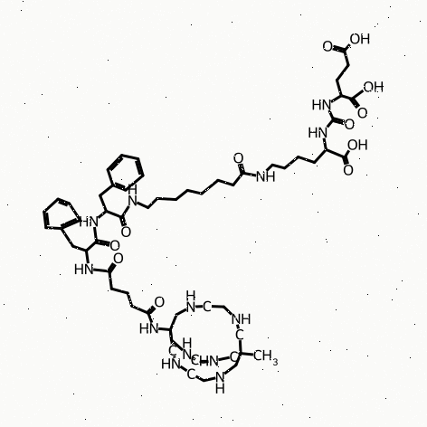 CC12CNCCNCC(NC(=O)CCCC(=O)NC(Cc3ccccc3)C(=O)NC(Cc3ccccc3)C(=O)NCCCCCCCC(=O)NCCCCC(NC(=O)NC(CCC(=O)O)C(=O)O)C(=O)O)(CNCCNC1)CNCCNC2